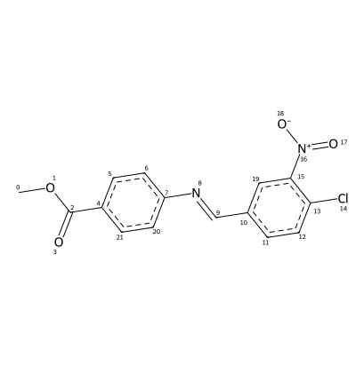 COC(=O)c1ccc(/N=C/c2ccc(Cl)c([N+](=O)[O-])c2)cc1